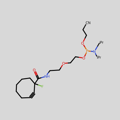 CC(C)N(C(C)C)P(OCCC#N)OCCOCCNC(=O)C1(F)C#CCCCCC1